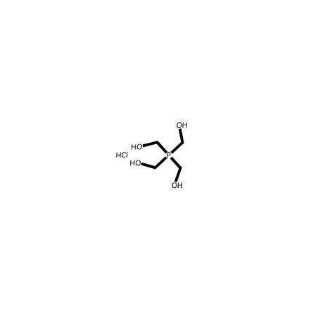 Cl.OC[P](CO)(CO)CO